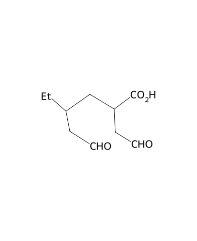 CCC(CC=O)CC(CC=O)C(=O)O